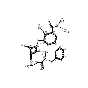 COC(=O)[C@@H](Cc1ccccc1)Nc1c(Nc2cccc(C(=O)N(C)C)c2O)c(=O)c1=O